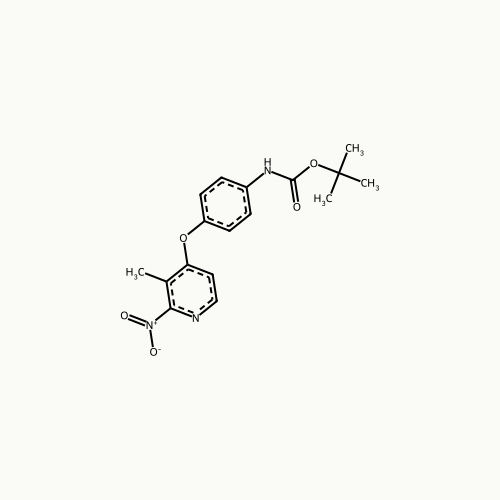 Cc1c(Oc2ccc(NC(=O)OC(C)(C)C)cc2)ccnc1[N+](=O)[O-]